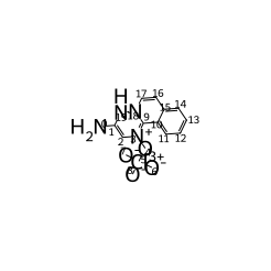 NC1=C[N+](O[Cl+3]([O-])([O-])[O-])=C2c3ccccc3C=CN2N1